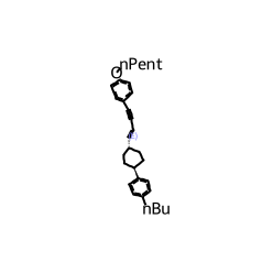 CCCCCOc1ccc(C#C/C=C/[C@H]2CC[C@H](c3ccc(CCCC)cc3)CC2)cc1